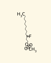 CCCCCCCCC[C@@H](F)CCOS(C)(=O)=O